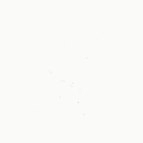 NC(c1ccc2c(c1)-c1ccccc1C21c2ccccc2Oc2ccccc21)N1C2C(c3ccccc3)=CC(c3ccccc3)=CN21